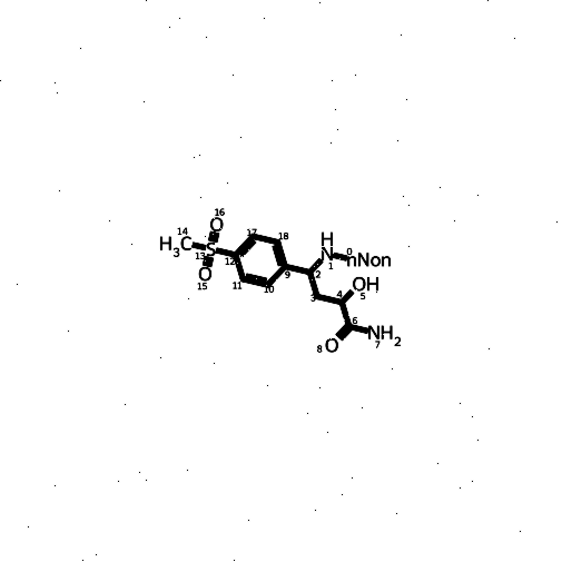 CCCCCCCCCNC(CC(O)C(N)=O)c1ccc(S(C)(=O)=O)cc1